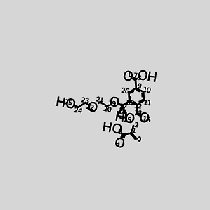 C=C(C)C(=O)O.O=C(O)c1ccc(C(=O)O)c(C(=O)OCCOCCO)c1